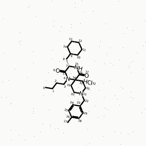 CCCCN1C(=O)[C@H](CC2CCCCC2)NC(=O)C12CCN(Cc1ccc(C)cc1)CC2.Cl